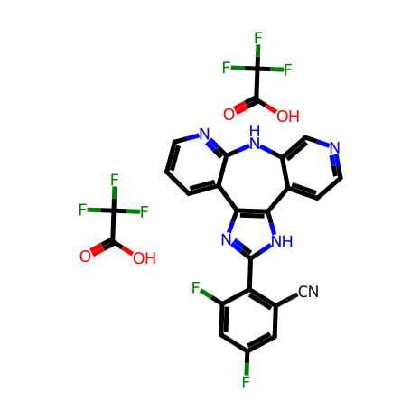 N#Cc1cc(F)cc(F)c1-c1nc2c([nH]1)-c1ccncc1Nc1ncccc1-2.O=C(O)C(F)(F)F.O=C(O)C(F)(F)F